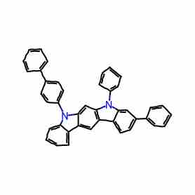 c1ccc(-c2ccc(-n3c4ccccc4c4cc5c6ccc(-c7ccccc7)cc6n(-c6ccccc6)c5cc43)cc2)cc1